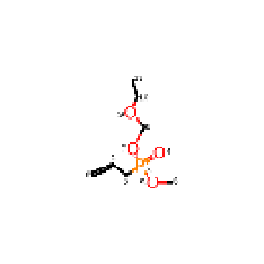 C=CCP(=O)(OC)OCOCC